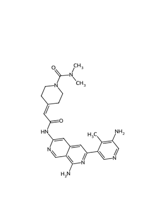 Cc1c(N)cncc1-c1cc2cc(NC(=O)C=C3CCN(C(=O)N(C)C)CC3)ncc2c(N)n1